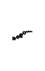 CCCCCCC1CCC(c2ccc(-c3ccc(Br)cc3)nc2)CC1